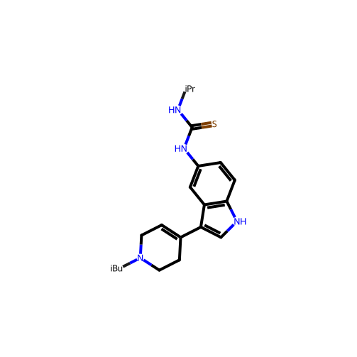 CCC(C)N1CC=C(c2c[nH]c3ccc(NC(=S)NC(C)C)cc23)CC1